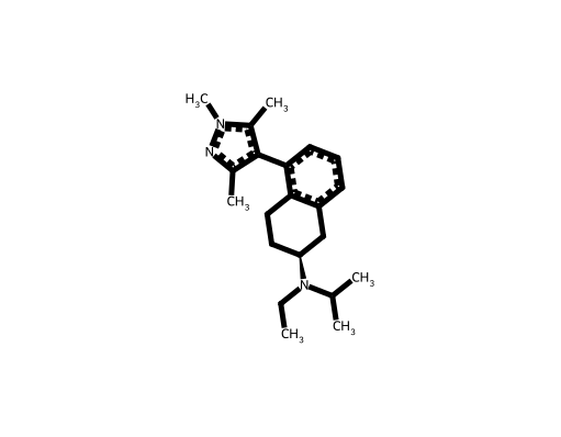 CCN(C(C)C)[C@H]1CCc2c(cccc2-c2c(C)nn(C)c2C)C1